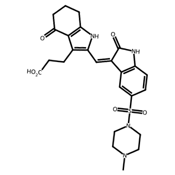 CN1CCN(S(=O)(=O)c2ccc3c(c2)/C(=C/c2[nH]c4c(c2CCC(=O)O)C(=O)CCC4)C(=O)N3)CC1